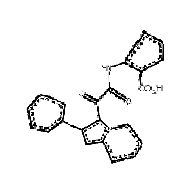 O=C(Nc1ccccc1C(=O)O)C(=O)c1c(-c2ccccc2)cc2ccccn12